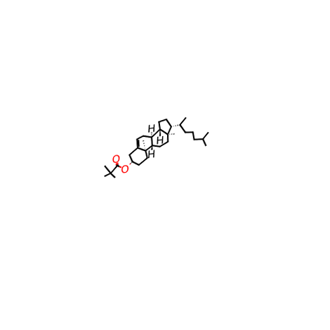 CC(C)CCCC(C)[C@H]1CC[C@H]2[C@@H]3CC=C4C[C@@H](OC(=O)C(C)(C)C)CC[C@]4(C)[C@H]3CC[C@]12C